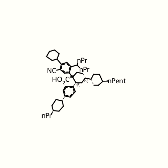 CCCCC[C@H]1CC[C@H]([C@H]2CC[C@](C(=O)O)(c3cc(C#N)c(C4CCCCC4)cc3C(CCC)CCC)[C@@H](c3ccc([C@H]4CC[C@H](CCC)CC4)cc3)C2)CC1